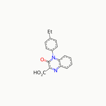 CCc1ccc(-n2c(=O)c(C(=O)O)nc3ccccc32)cc1